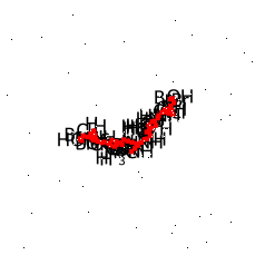 CNCCN(CCNC(=S)Nc1ccc(/C=C/c2ccc(NC(=S)NNC(=O)C(Nc3ccc(Cl)cc3)C(=O)N/N=C/c3cc(Br)c(O)c(Br)c3)cc2S(=O)(=O)O)c(S(=O)(=O)O)c1)CCNC(=S)Nc1ccc(/C=C/c2ccc(NC(=S)NNC(=O)C(Nc3ccc(Cl)cc3)C(=O)N/N=C/c3cc(Br)c(O)c(Br)c3)cc2S(=O)(=O)O)c(S(=O)(=O)O)c1